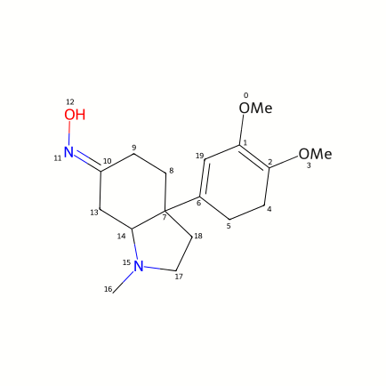 COC1=C(OC)CCC(C23CC/C(=N\O)CC2N(C)CC3)=C1